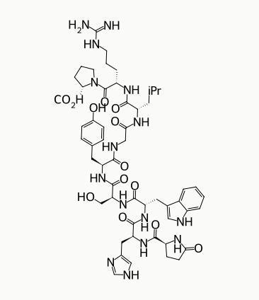 CC(C)C[C@H](NC(=O)CNC(=O)[C@H](Cc1ccc(O)cc1)NC(=O)[C@H](CO)NC(=O)[C@H](Cc1c[nH]c2ccccc12)NC(=O)[C@H](Cc1c[nH]cn1)NC(=O)[C@@H]1CCC(=O)N1)C(=O)N[C@@H](CCCNC(=N)N)C(=O)N1CCC[C@H]1C(=O)O